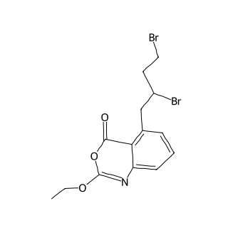 CCOc1nc2cccc(CC(Br)CCBr)c2c(=O)o1